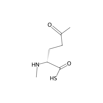 CN[C@H](CCC(C)=O)C(=O)S